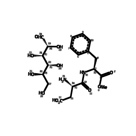 COC(=O)[C@H](Cc1ccccc1)NC(=O)[C@@H](N)CC(=O)O.O=C[C@H](O)[C@@H](O)[C@H](O)[C@H](O)CO